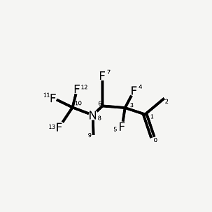 C=C(C)C(F)(F)C(F)N(C)C(F)(F)F